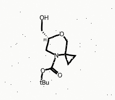 CC(C)(C)OC(=O)N1C[C@H](CO)OCC12CC2